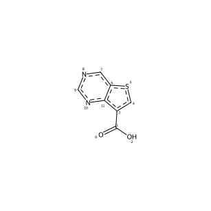 O=C(O)c1csc2cncnc12